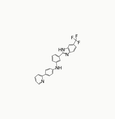 FC(F)(F)c1ccc2nc(-c3cccc(Nc4ccc(-c5ccccn5)cc4)c3)[nH]c2c1